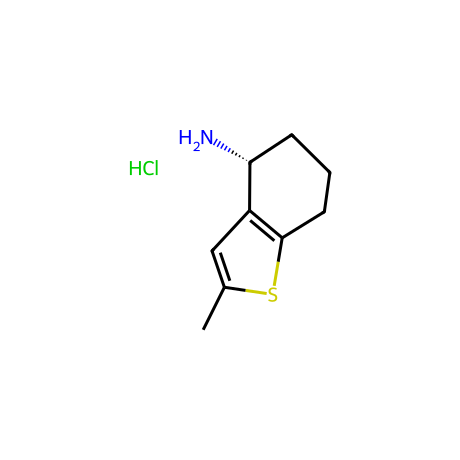 Cc1cc2c(s1)CCC[C@H]2N.Cl